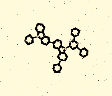 c1ccc(-c2ccc3c(c2)c2cc(-c4ccc5c(c4)c4ccccc4n5-c4ccncc4)ccc2n3-c2cc(-c3ccccc3)nc(-c3ccccc3)n2)cc1